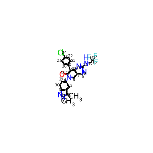 Cc1c2cc(-n3cc4cnc(NCC(F)(F)F)nc4c(-c4ccc(Cl)cc4)c3=O)ccc2nn1C